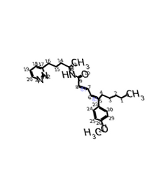 CCCCC/C(=C\C=C\C(=O)N[C@H](C)CCCc1cccnn1)c1ccc(OC)cc1